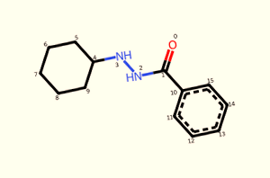 O=C(NNC1CCCCC1)c1ccccc1